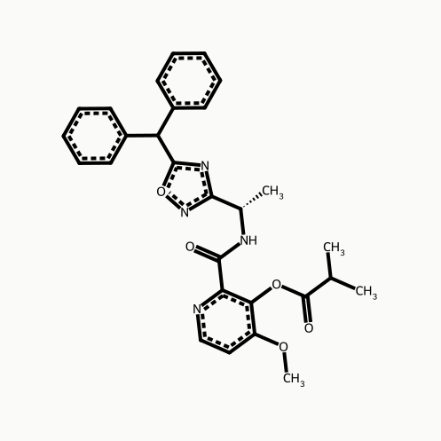 COc1ccnc(C(=O)N[C@@H](C)c2noc(C(c3ccccc3)c3ccccc3)n2)c1OC(=O)C(C)C